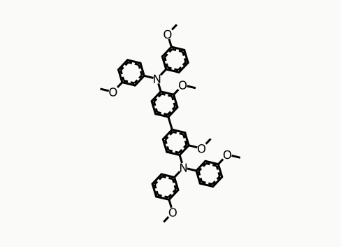 COc1cccc(N(c2cccc(OC)c2)c2ccc(-c3ccc(N(c4cccc(OC)c4)c4cccc(OC)c4)c(OC)c3)cc2OC)c1